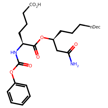 CCCCCCCCCCCCC[C@@H](CC(N)=O)OC(=O)[C@H](CCCC(=O)O)NC(=O)Oc1ccccc1